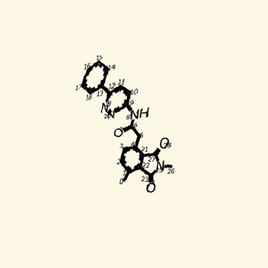 Cc1ccc(CC(=O)Nc2ccc(-c3ccccc3)nn2)c2c1C(=O)N(C)C2=O